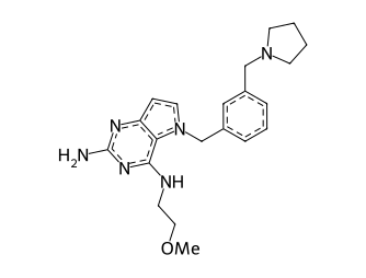 COCCNc1nc(N)nc2ccn(Cc3cccc(CN4CCCC4)c3)c12